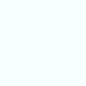 O=C(O)N1CCN(CCCOc2c(Cl)cccc2Cl)CC1